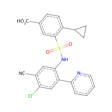 N#Cc1cc(NS(=O)(=O)c2cc(C(=O)O)ccc2C2CC2)c(-c2ccccn2)cc1Cl